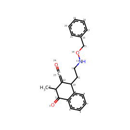 CC1C(=O)c2ccccc2C(CCNOCc2ccccc2)C1=C=O